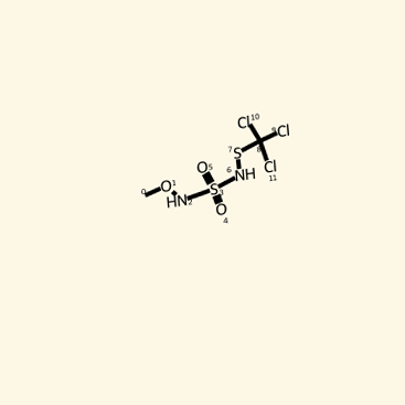 CONS(=O)(=O)NSC(Cl)(Cl)Cl